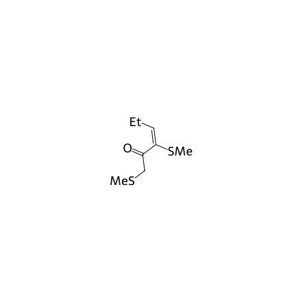 CCC=C(SC)C(=O)CSC